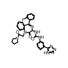 O=C(Nc1cccc(-c2nnn[nH]2)c1)NC1N=C(c2ccccc2F)c2ccccc2N(CC(=O)N2CCCC2)C1=O